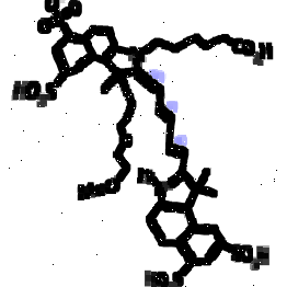 CC[N+]1=C(/C=C/C=C/C=C2/N(CCCCCC(=O)O)c3ccc4c(S(=O)(=O)[O-])cc(S(=O)(=O)O)cc4c3C2(C)CCOCCOC)C(C)(C)c2c1ccc1c(S(=O)(=O)O)cc(S(=O)(=O)O)cc21